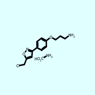 NC(=O)O.NCCCOc1ccc(-c2cc(CCl)on2)cc1